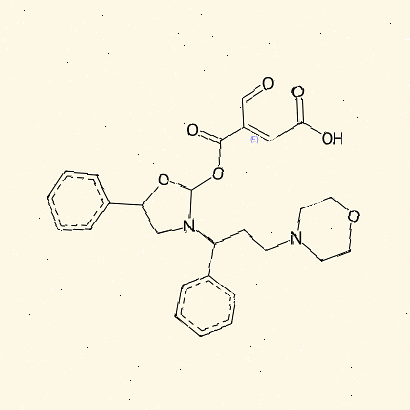 O=C/C(=C\C(=O)O)C(=O)OC1OC(c2ccccc2)CN1C(CCN1CCOCC1)c1ccccc1